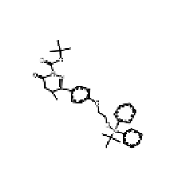 CC1CC(=O)N(C(=O)OC(C)(C)C)N=C1c1ccc(OCCO[Si](c2ccccc2)(c2ccccc2)C(C)(C)C)cc1